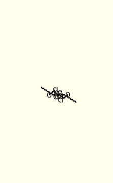 CCCCCCCC(=O)c1cc(Cl)c(OC(=O)C(=O)Oc2c(Cl)cc(C(=O)CCCCCCC)cc2Cl)c(Cl)c1